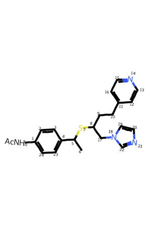 CC(=O)Nc1ccc(C(C)SC(CCc2ccncc2)Cn2ccnc2)cc1